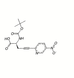 CC(C)(C)OC(=O)N[C@@H](CC#Cc1ccc([N+](=O)[O-])cn1)C(=O)O